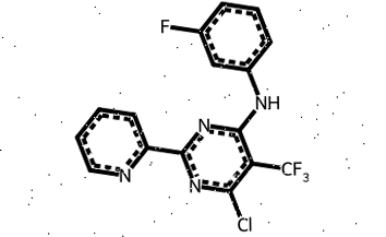 Fc1cccc(Nc2nc(-c3ccccn3)nc(Cl)c2C(F)(F)F)c1